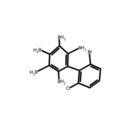 Bc1c(B)c(B)c(-c2c(Cl)cccc2Br)c(B)c1B